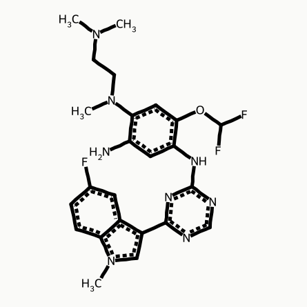 CN(C)CCN(C)c1cc(OC(F)F)c(Nc2ncnc(-c3cn(C)c4ccc(F)cc34)n2)cc1N